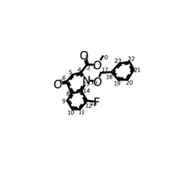 COC(=O)c1cc(=O)c2cccc(F)c2n1OCc1ccccc1